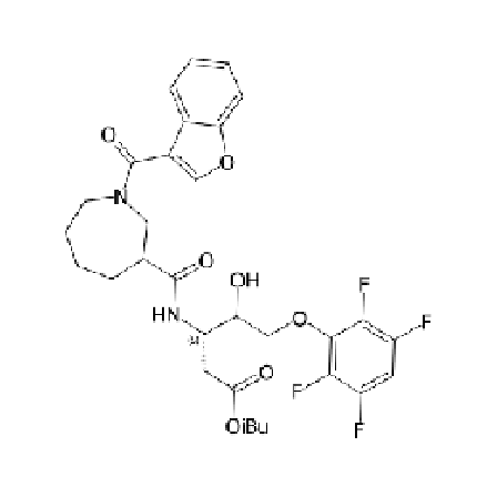 CC(C)COC(=O)C[C@H](NC(=O)C1CCCCN(C(=O)c2coc3ccccc23)C1)C(O)COc1c(F)c(F)cc(F)c1F